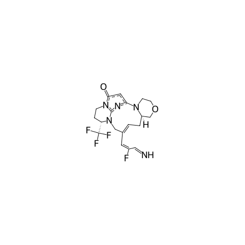 N=C/C(F)=C\C1=C/C[C@@H]2COCCN2c2cc(=O)n3c(n2)N(C1)[C@H](C(F)(F)F)CC3